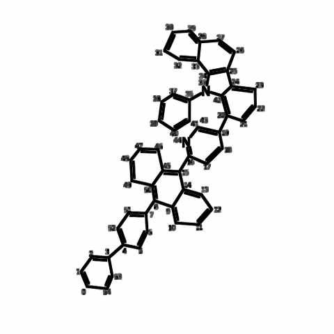 c1ccc(-c2ccc(-c3c4ccccc4c(-c4ccc(-c5cccc6c7ccc8ccccc8c7n(-c7ccccc7)c56)cn4)c4ccccc34)cc2)cc1